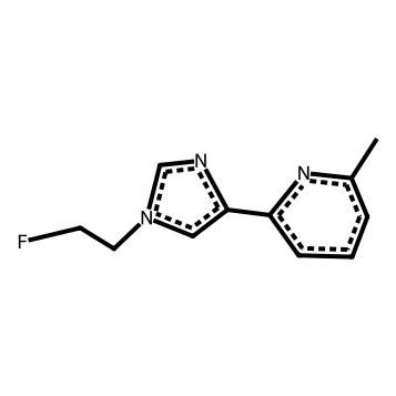 Cc1cccc(-c2cn(CCF)cn2)n1